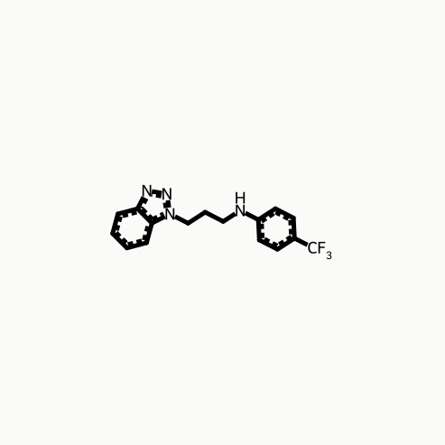 FC(F)(F)c1ccc(NCCCn2nnc3ccccc32)cc1